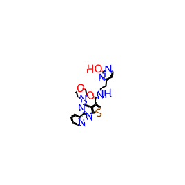 O=C(NCCc1ccnc(O)n1)c1csc2nc(-c3ccccn3)nc(N3CCOCC3)c12